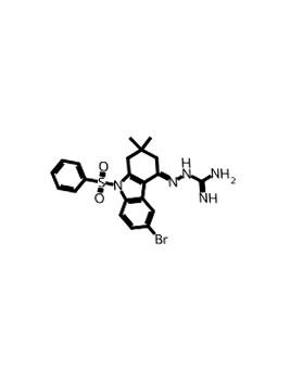 CC1(C)CC(=NNC(=N)N)c2c(n(S(=O)(=O)c3ccccc3)c3ccc(Br)cc23)C1